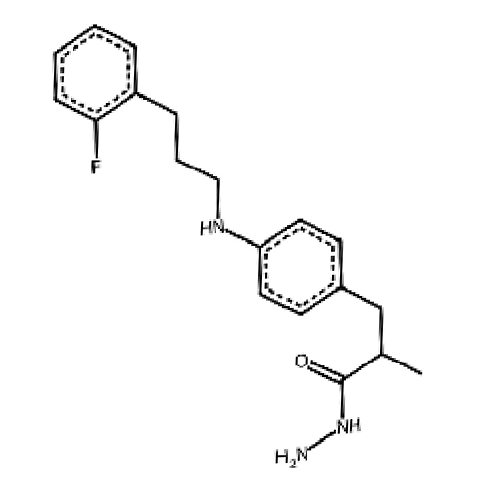 CC(Cc1ccc(NCCCc2ccccc2F)cc1)C(=O)NN